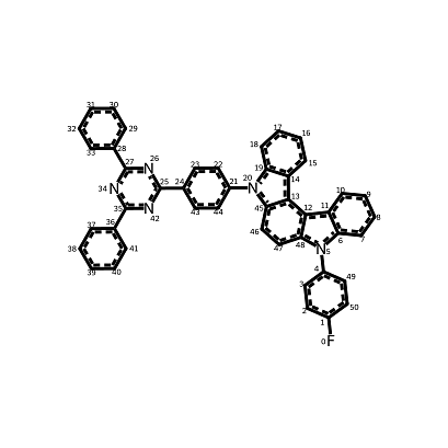 Fc1ccc(-n2c3ccccc3c3c4c5ccccc5n(-c5ccc(-c6nc(-c7ccccc7)nc(-c7ccccc7)n6)cc5)c4ccc32)cc1